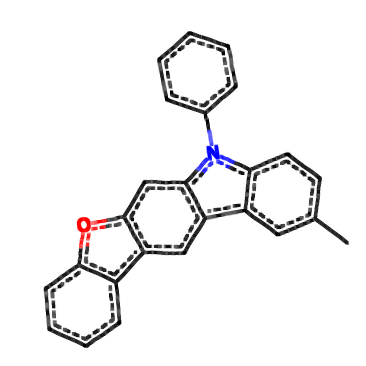 Cc1ccc2c(c1)c1cc3c(cc1n2-c1ccccc1)oc1ccccc13